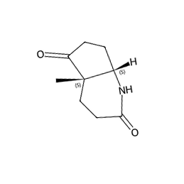 C[C@]12CCC(=O)N[C@H]1CCC2=O